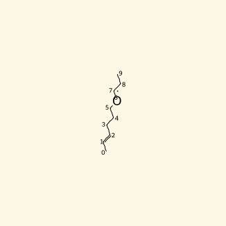 CC=CCCCO[CH]CC